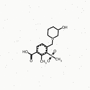 Cc1c(C(=O)O)ccc(CN2CCCC(O)C2)c1S(C)(=O)=O